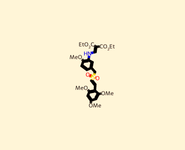 CCOC(=O)C(=CNc1cc(CS(=O)(=O)/C=C/c2c(OC)cc(OC)cc2OC)ccc1OC)C(=O)OCC